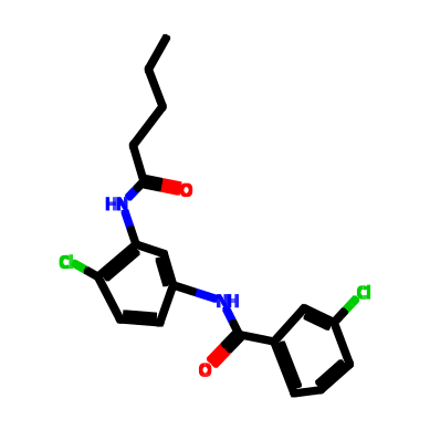 CCCCC(=O)Nc1cc(NC(=O)c2cccc(Cl)c2)ccc1Cl